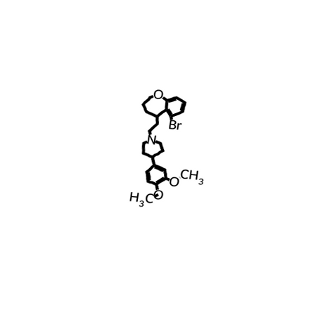 COc1ccc(C2CCN(CCC3CCCOc4cccc(Br)c43)CC2)cc1OC